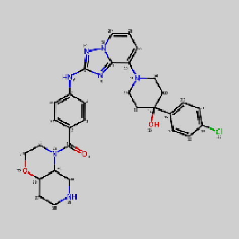 O=C(c1ccc(Nc2nc3c(N4CCC(O)(c5ccc(Cl)cc5)CC4)cccn3n2)cc1)N1CCOC2CCNCC21